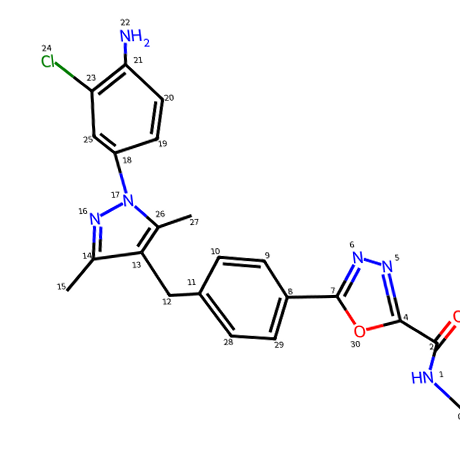 CNC(=O)c1nnc(-c2ccc(Cc3c(C)nn(-c4ccc(N)c(Cl)c4)c3C)cc2)o1